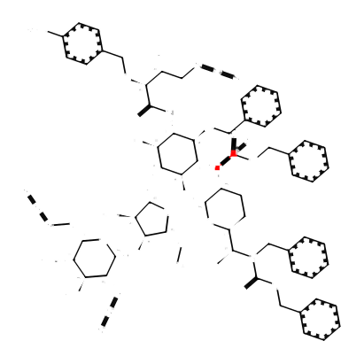 COc1ccc(CO[C@H](C(=O)N[C@H]2[C@H](O)[C@@H](O[C@@H]3O[C@H](COC(C)=O)[C@@H](O[C@H]4O[C@@H](CN=[N+]=[N-])[C@@H](OC(C)=O)[C@H](OC(C)=O)[C@H]4N=[N+]=[N-])[C@H]3OC(C)=O)[C@H](O[C@H]3O[C@H]([C@H](C)N(Cc4ccccc4)C(=O)OCc4ccccc4)CC[C@H]3N=[N+]=[N-])[C@@H](NC(=O)OCc3ccccc3)[C@@H]2OCc2ccccc2)[C@H](F)CN=[N+]=[N-])cc1